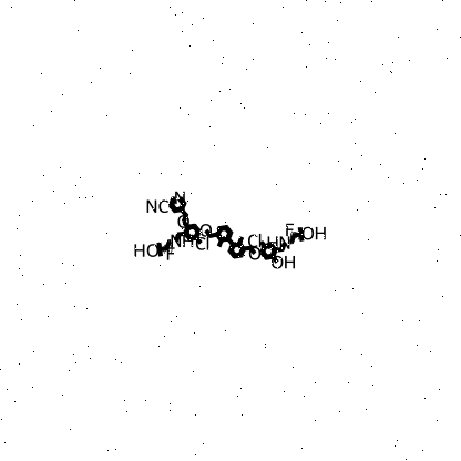 Cc1c(COc2cc(O)c(CNC[C@@H](F)C(C)(C)O)cc2Cl)cccc1-c1cccc(COc2cc(OCc3cncc(C#N)c3)c(CNC[C@@H](F)C(C)(C)O)cc2Cl)c1C